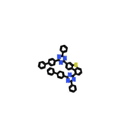 C1=CC(c2ccccc2)CC=C1c1nc(-c2ccccc2)nc(-c2cccc3sc4cc(-c5nc(-c6ccccc6)nc(-c6ccc(-c7ccccc7)cc6)n5)ccc4c23)n1